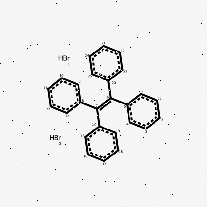 Br.Br.c1ccc(C(=C(c2ccccc2)c2ccccc2)c2ccccc2)cc1